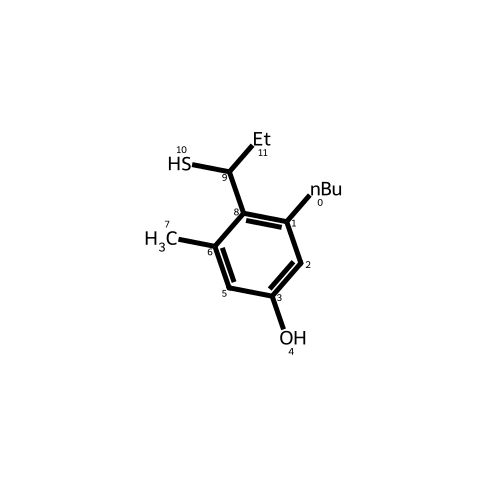 CCCCc1cc(O)cc(C)c1C(S)CC